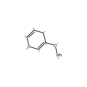 CCCOC1=[C]OC=CC1